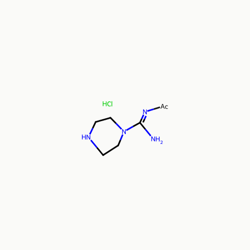 CC(=O)N=C(N)N1CCNCC1.Cl